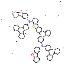 c1ccc2c(c1)oc1ccc(N(c3ccc4c5ccccc5c5ccccc5c4c3)c3ccc4c(c3)c3ccccc3c3cc5c(cc43)sc3c(N(c4ccc6oc7ccccc7c6c4)c4ccc6c7ccccc7c7ccccc7c6c4)cccc35)cc12